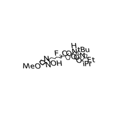 CC[C@@H]1CCN(C(=O)C(NC(=O)O[C@]2(C(F)(F)F)CCC[C@H]2CCCCCc2nc3ccc(OC)cc3nc2O)C(C)(C)C)[C@@H]1C(=O)C(C)C